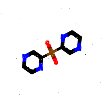 O=S(=O)(c1cnccn1)c1cnccn1